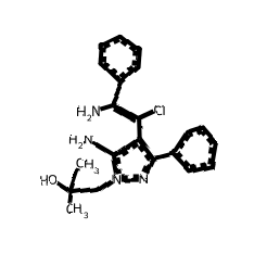 CC(C)(O)Cn1nc(-c2ccccc2)c(/C(Cl)=C(\N)c2ccccc2)c1N